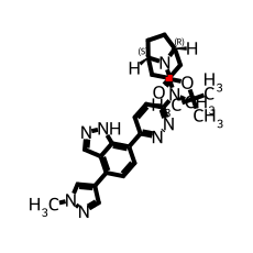 CN(c1ccc(-c2ccc(-c3cnn(C)c3)c3cn[nH]c23)nn1)C1C[C@H]2CC[C@@H](C1)N2C(=O)OC(C)(C)C